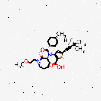 COCCN1CCCC[C@H](N(c2cc(C#CC(C)(C)C)sc2C(=O)O)C(=O)[C@H]2CC[C@H](C)CC2)C1=O